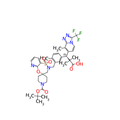 Cc1ccc([C@@H](c2ccn3c(C(F)(F)F)nnc3c2C)C(C)(C)C(=O)O)cc1CN1CC2(CCN(C(=O)OC(C)(C)C)CC2)Oc2ncccc2S1(=O)=O